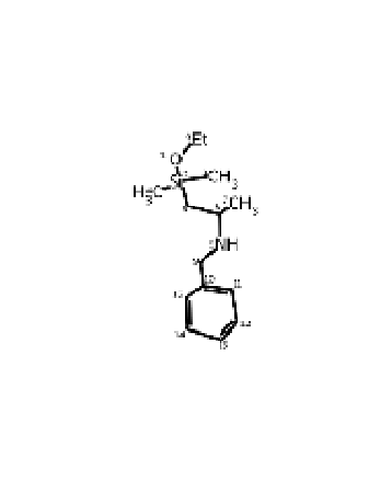 CCO[Si](C)(C)CC(C)NCc1ccccc1